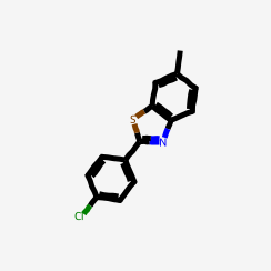 Cc1ccc2nc(-c3ccc(Cl)cc3)sc2c1